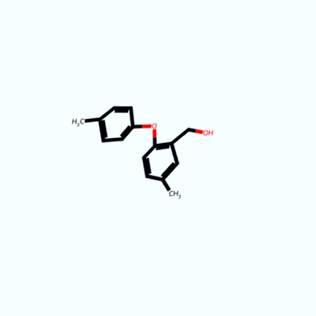 Cc1ccc(Oc2ccc(C)cc2CO)cc1